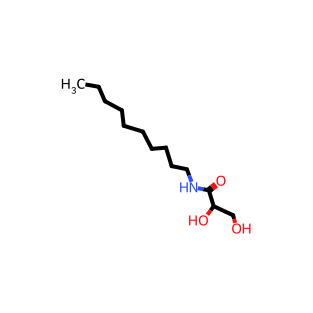 CCCCCCCCCCNC(=O)C(O)CO